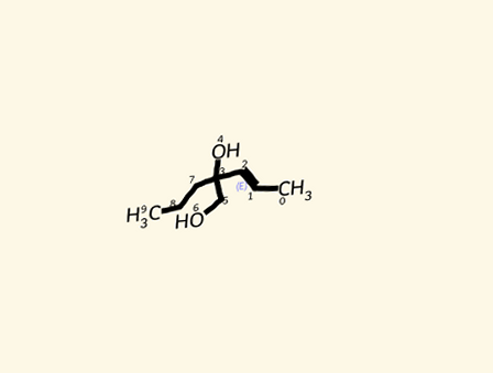 C/C=C/C(O)(CO)CCC